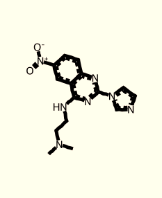 CN(C)CCNc1nc(-n2ccnc2)nc2ccc([N+](=O)[O-])cc12